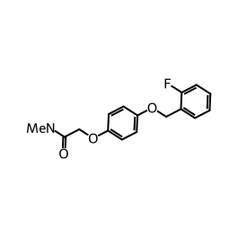 CNC(=O)COc1ccc(OCc2ccccc2F)cc1